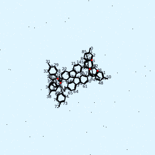 Cc1ccc(N(c2ccc(C)cc2)c2ccc3c(c2)C2(C4=C3C=CC(C)(N(c3ccc(C)cc3)c3ccc(C)cc3)C4)c3cc(N(c4ccc(C)cc4)c4ccc(C)cc4)ccc3-c3ccc(N(c4ccc(C)cc4)c4ccc(C)cc4)cc32)cc1